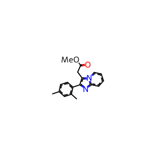 COC(=O)Cc1c(-c2ccc(C)cc2C)nc2ccccn12